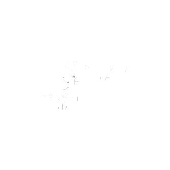 CCCC[C@H]([C@H](O)/C=C/[C@H]1[C@H](CO)C[C@@H]2O[C@@H](CCCC(C)C(=O)O)C[C@H]12)C(F)(F)F